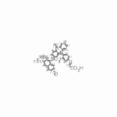 C=O.CCCCc1cc2ccccc2c(S(=O)(=O)O)c1CCCC.[N-]=[N+]1c2ccccc2N(c2ccc(OCC(=O)O)cc2)c2ccccc21